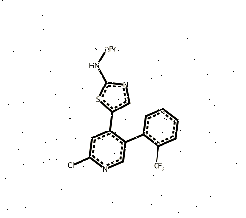 CCCNc1ncc(-c2cc(Cl)ncc2-c2ccccc2C(F)(F)F)s1